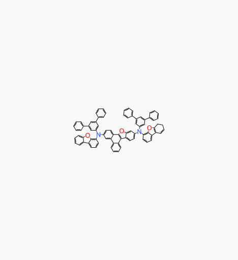 C1=Cc2c(oc3c(N(c4cc(-c5ccccc5)cc(-c5ccccc5)c4)c4ccc5c(c4)oc4c6ccc(N(c7cc(-c8ccccc8)cc(-c8ccccc8)c7)c7cccc8c7oc7ccccc78)cc6c6ccccc6c54)cccc23)CC1